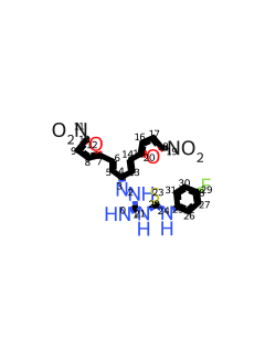 N=C(NN=C(/C=C/c1ccc([N+](=O)[O-])o1)/C=C/c1ccc([N+](=O)[O-])o1)NC(=S)Nc1ccc(F)cc1